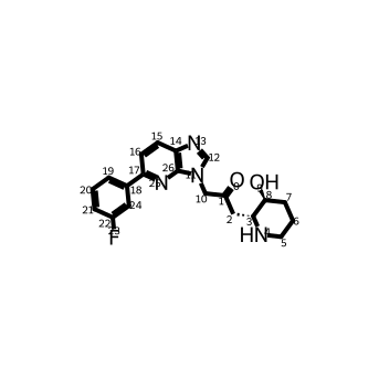 O=C(C[C@H]1NCCC[C@@H]1O)Cn1cnc2ccc(-c3cccc(F)c3)nc21